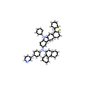 c1ccc(-n2c3ccc(N(c4ccc(-c5cccnc5)cc4)c4cc5ccccc5c5ccccc45)cc3c3cc4ccc5sc6ccccc6c5c4cc32)cc1